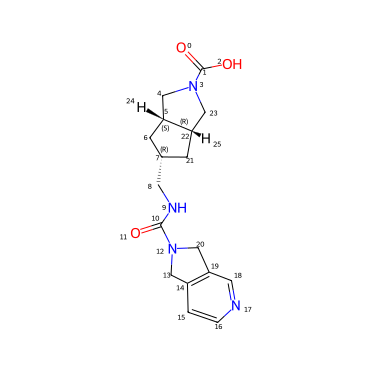 O=C(O)N1C[C@H]2C[C@@H](CNC(=O)N3Cc4ccncc4C3)C[C@H]2C1